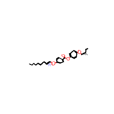 CCCCCCC/C=C/Oc1ccc(C(=O)Oc2ccc(OC[C@@H](C)CC)cc2)cc1